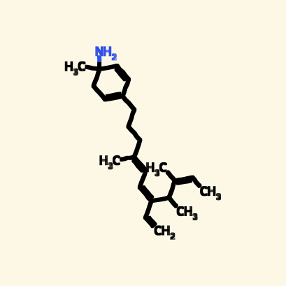 C=C/C(=C/C=C(\C)CCCC1=CCC(C)(N)C=C1)C(C)/C(C)=C\C